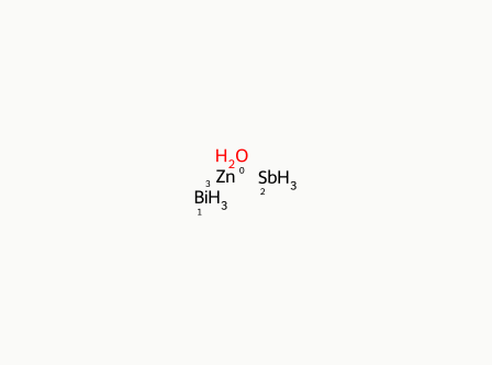 O.[BiH3].[SbH3].[Zn]